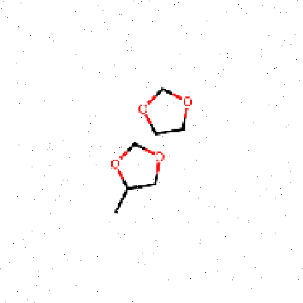 C1COCO1.CC1COCO1